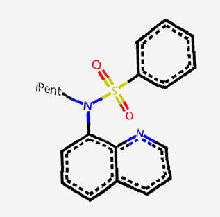 CCCC(C)N(c1cccc2cccnc12)S(=O)(=O)c1ccccc1